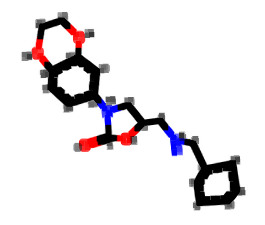 O=C1OC(CNCc2ccccc2)CN1c1ccc2c(c1)OCCO2